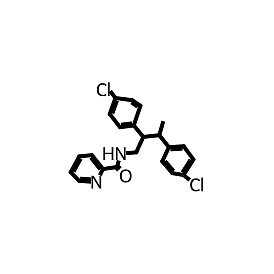 CC(c1ccc(Cl)cc1)C(CNC(=O)c1ccccn1)c1ccc(Cl)cc1